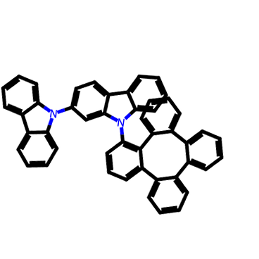 c1ccc2c(c1)-c1ccccc1-c1cccc(-n3c4ccccc4c4ccc(-n5c6ccccc6c6ccccc65)cc43)c1-c1ccccc1-2